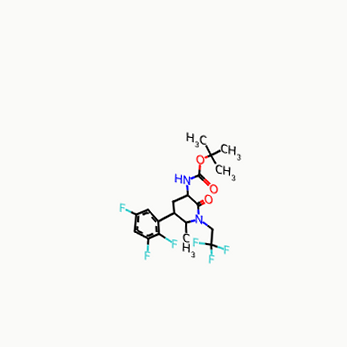 CC1C(c2cc(F)cc(F)c2F)CC(NC(=O)OC(C)(C)C)C(=O)N1CC(F)(F)F